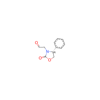 O=CCN1C(=O)OC[C@H]1c1ccccc1